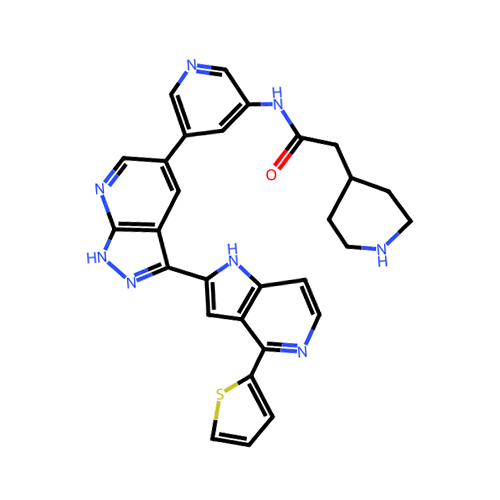 O=C(CC1CCNCC1)Nc1cncc(-c2cnc3[nH]nc(-c4cc5c(-c6cccs6)nccc5[nH]4)c3c2)c1